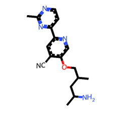 Cc1nccc(-c2cc(C#N)c(OCC(C)CC(C)N)cn2)n1